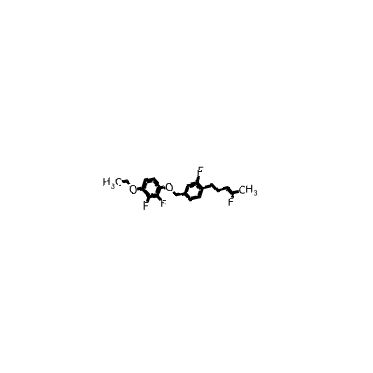 CCOc1ccc(OCc2ccc(CCC=C(C)F)c(F)c2)c(F)c1F